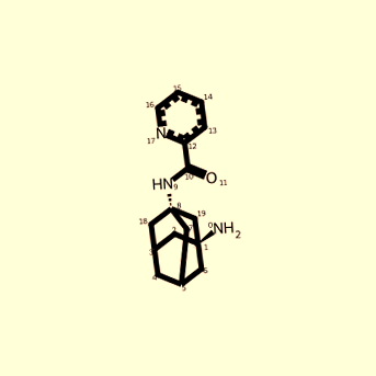 N[C@]12CC3CC(C1)C[C@@](NC(=O)c1ccccn1)(C3)C2